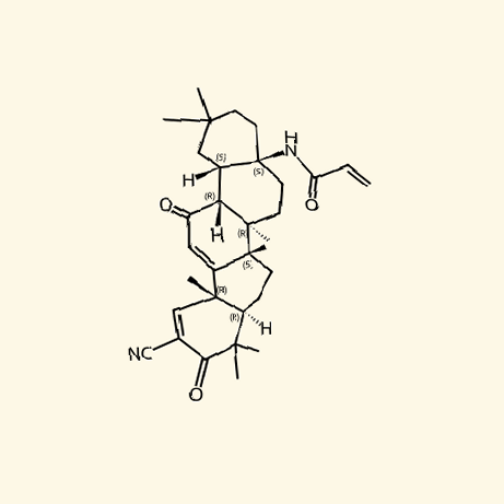 C=CC(=O)N[C@]12CCC(C)(C)C[C@H]1[C@H]1C(=O)C=C3[C@@]4(C)C=C(C#N)C(=O)C(C)(C)[C@@H]4CC[C@@]3(C)[C@]1(C)CC2